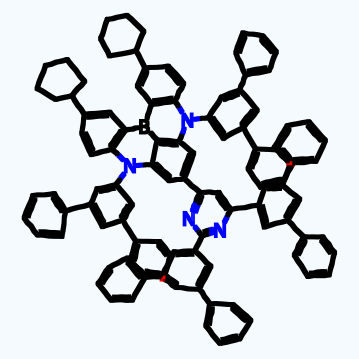 c1ccc(-c2cc(-c3ccccc3)cc(-c3cc(-c4cc5c6c(c4)N(c4cc(-c7ccccc7)cc(-c7ccccc7)c4)c4ccc(C7CCCCC7)cc4B6c4cc(C6CCCCC6)ccc4N5c4cc(-c5ccccc5)cc(-c5ccccc5)c4)nc(-c4cc(-c5ccccc5)cc(-c5ccccc5)c4)n3)c2)cc1